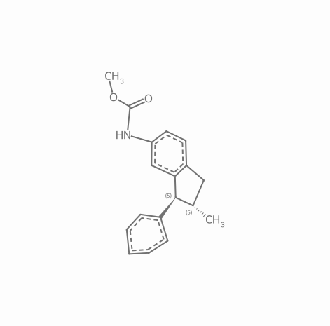 COC(=O)Nc1ccc2c(c1)[C@H](c1ccccc1)[C@@H](C)C2